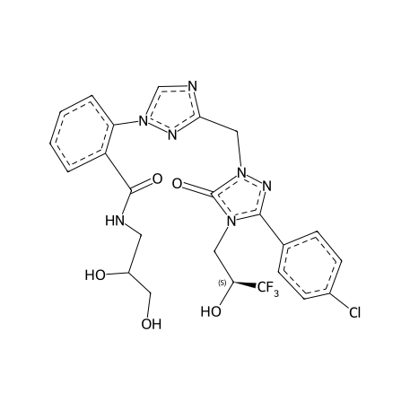 O=C(NCC(O)CO)c1ccccc1-n1cnc(Cn2nc(-c3ccc(Cl)cc3)n(C[C@H](O)C(F)(F)F)c2=O)n1